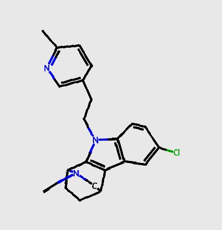 Cc1ccc(CCn2c3c(c4cc(Cl)ccc42)C2CCC3N(C)C2)cn1